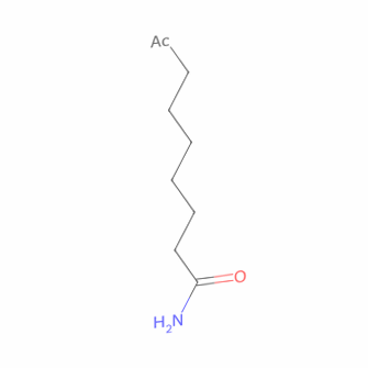 CC(=O)CCCCCCC(N)=O